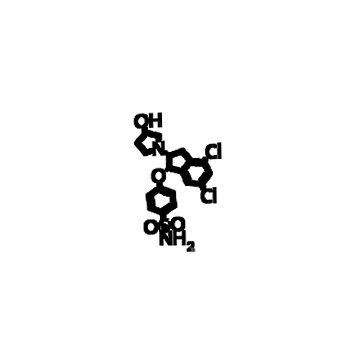 NS(=O)(=O)c1ccc(O[C@H]2c3cc(Cl)cc(Cl)c3C[C@@H]2N2CCC(O)C2)cc1